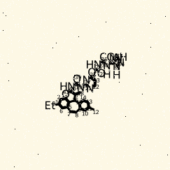 CCc1ccc2c(c1)C=Cc1cc(C)ccc1C2c1cn(-c2nccc(OC(=O)NC(Nc3nnn[nH]3)C(=O)O)n2)c(=O)[nH]c1=O